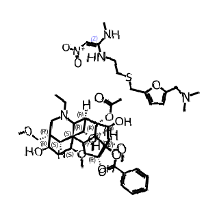 CCN1C[C@]2(COC)[C@H](O)C[C@H](OC)[C@]34C1[C@H]([C@H](OC)[C@H]23)[C@]1(OC(C)=O)[C@H]2[C@@H](OC(=O)c3ccccc3)[C@](O)(C[C@H]24)[C@@H](OC)[C@@H]1O.CN/C(=C/[N+](=O)[O-])NCCSCc1ccc(CN(C)C)o1